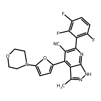 Cc1n[nH]c2nc(-c3c(F)ccc(F)c3F)c(C#N)c(-c3ccc(N4CCOCC4)o3)c12